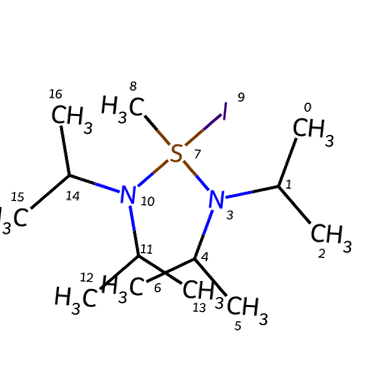 CC(C)N(C(C)C)S(C)(I)N(C(C)C)C(C)C